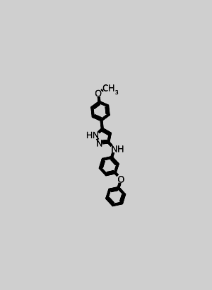 COc1ccc(-c2cc(Nc3cccc(Oc4ccccc4)c3)n[nH]2)cc1